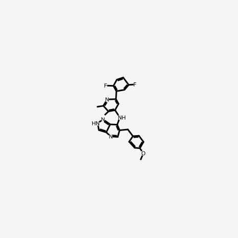 COc1ccc(Cc2cnc3c[nH]nc3c2Nc2cc(-c3cc(F)ccc3F)nc(C)c2C)cc1